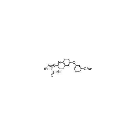 COc1cccc(Oc2ccc3c(c2)CC(NC(=O)OC(C)(C)C)C(SC)=N3)c1